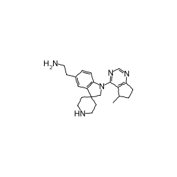 CC1CCc2ncnc(N3CC4(CCNCC4)c4cc(CCN)ccc43)c21